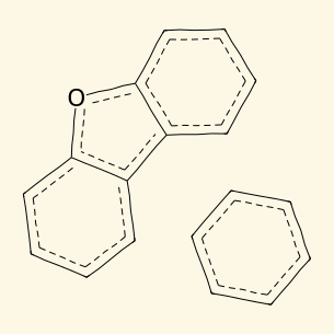 c1ccc2c(c1)oc1ccccc12.c1ccccc1